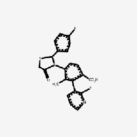 Cc1c(N2C(=O)CSC2c2ccc(F)cc2)ccc(C(=O)O)c1-c1cccnc1F